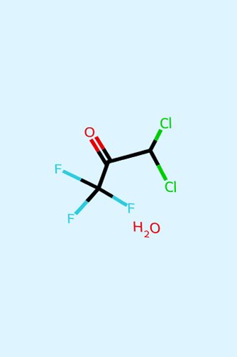 O.O=C(C(Cl)Cl)C(F)(F)F